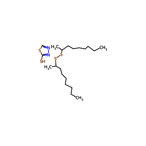 CCCCCCCC(C)SSC(C)CCCCCCC.Sc1nncs1